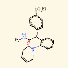 CCNC(=O)C(c1ccc(C(=O)OCC)cc1)c1ccccc1N1CC=CCC1